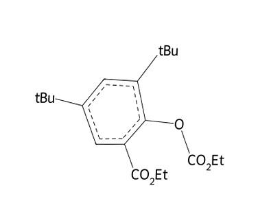 CCOC(=O)Oc1c(C(=O)OCC)cc(C(C)(C)C)cc1C(C)(C)C